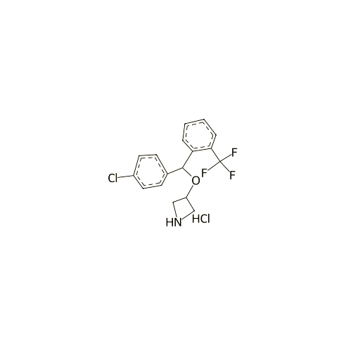 Cl.FC(F)(F)c1ccccc1C(OC1CNC1)c1ccc(Cl)cc1